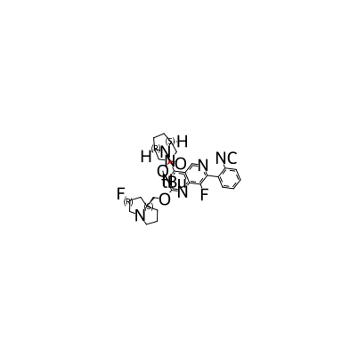 CC(C)(C)OC(=O)N1[C@@H]2CC[C@H]1CN(c1nc(OC[C@@]34CCCN3C[C@H](F)C4)nc3c(F)c(-c4ccccc4C#N)ncc13)C2